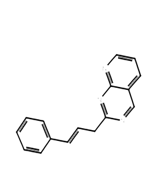 C(=Cc1ccccc1)Cc1ncc2cccnc2n1